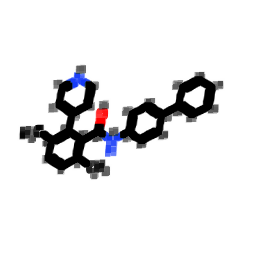 Cc1ccc(C)c(-c2ccncc2)c1C(=O)Nc1ccc(-c2ccccc2)cc1